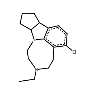 CCN1CCc2c(Cl)ccc3c2N(CC1)C1CCCC31